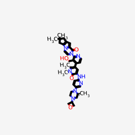 Cc1c(-c2ccnc(-n3ccn4c5c(cc4c3=O)CC(C)(C)C5)c2CO)cc(Nc2ccc(N3CCN(C4COC4)C[C@@H]3C)cn2)c(=O)n1C